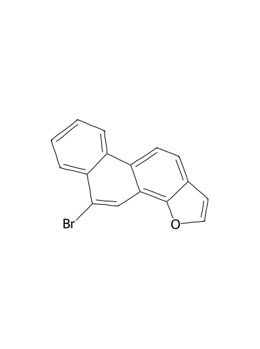 Brc1cc2c(ccc3ccoc32)c2ccccc12